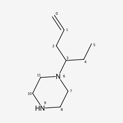 C=CCC(CC)N1CCNCC1